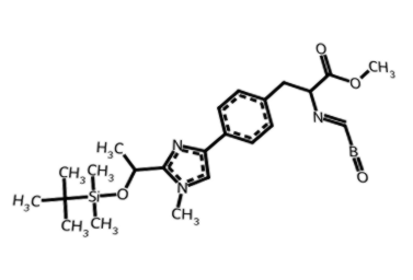 COC(=O)C(Cc1ccc(-c2cn(C)c(C(C)O[Si](C)(C)C(C)(C)C)n2)cc1)/N=C/B=O